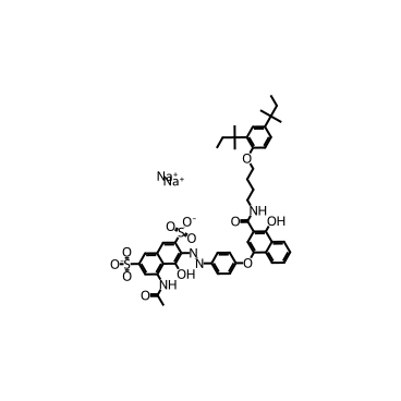 CCC(C)(C)c1ccc(OCCCCNC(=O)c2cc(Oc3ccc(N=Nc4c(S(=O)(=O)[O-])cc5cc(S(=O)(=O)[O-])cc(NC(C)=O)c5c4O)cc3)c3ccccc3c2O)c(C(C)(C)CC)c1.[Na+].[Na+]